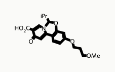 COCCCOc1ccc2c(c1)OC(C(C)C)n1cc(C(=O)O)c(=O)cc1-2